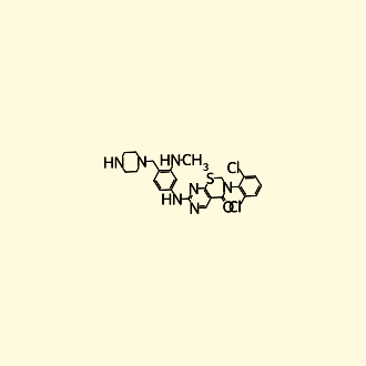 CNc1cc(Nc2ncc3c(n2)SCN(c2c(Cl)cccc2Cl)C3=O)ccc1CN1CCNCC1